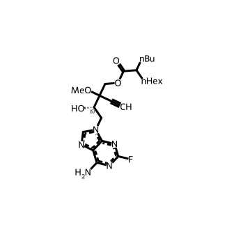 C#CC(COC(=O)C(CCCC)CCCCCC)(OC)[C@@H](O)Cn1cnc2c(N)nc(F)nc21